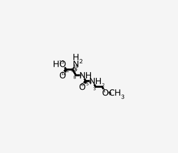 COCCNC(=O)NC[C@H](N)C(=O)O